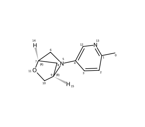 Cc1ccc(N2C[C@H]3C[C@@H]2CO3)cn1